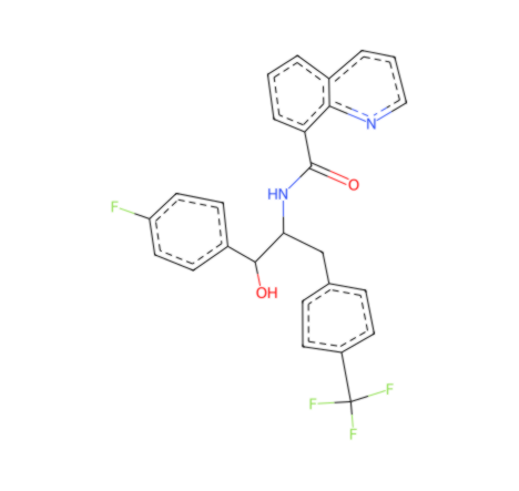 O=C(NC(Cc1ccc(C(F)(F)F)cc1)C(O)c1ccc(F)cc1)c1cccc2cccnc12